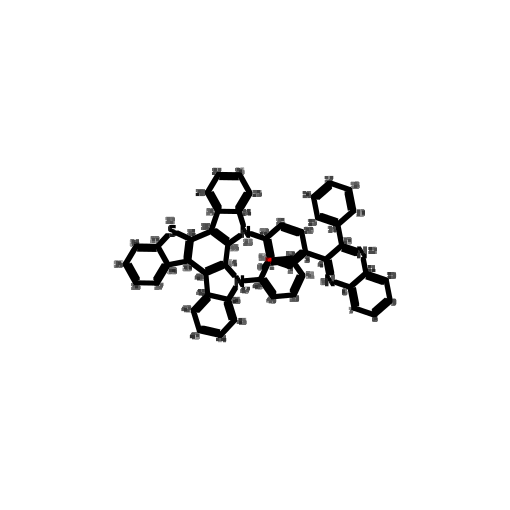 Cc1cc(-c2nc3ccccc3nc2-c2ccccc2)ccc1-n1c2ccccc2c2c3sc4ccccc4c3c3c4ccccc4n(-c4ccccc4)c3c21